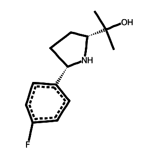 CC(C)(O)[C@H]1CC[C@@H](c2ccc(F)cc2)N1